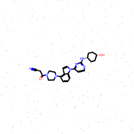 N#CCC(=O)N1CCN(c2cccc3c2ccn3-c2ccnc(N[C@H]3CC[C@@H](O)CC3)n2)CC1